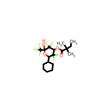 CCC(C)(C)C(=O)OC1C(F)(F)C(C2CCCCC2)OC(O)(C(F)(F)F)C1(F)F